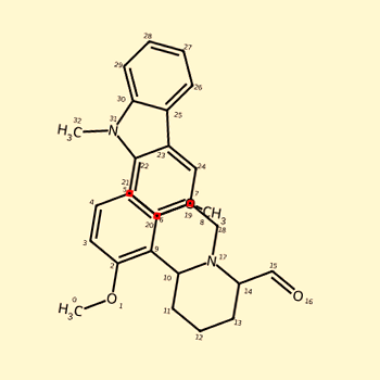 COc1cccc(OC)c1C1CCCC(C=O)N1Cc1ccc2c(c1)c1ccccc1n2C